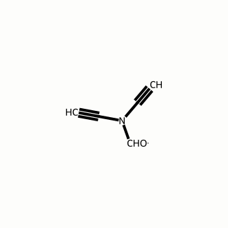 C#CN([C]=O)C#C